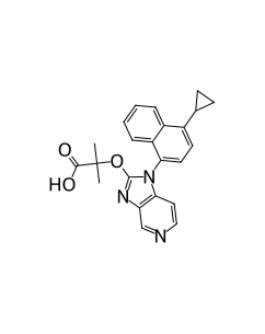 CC(C)(Oc1nc2cnccc2n1-c1ccc(C2CC2)c2ccccc12)C(=O)O